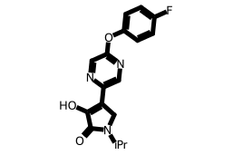 CC(C)N1CC(c2cnc(Oc3ccc(F)cc3)cn2)=C(O)C1=O